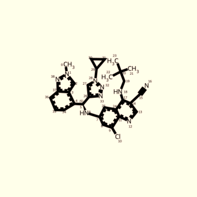 Cn1cc2c([C@H](Nc3cc(Cl)c4ncc(C#N)c(NCC(C)(C)C)c4c3)c3cn(C4CC4)nn3)cccc2n1